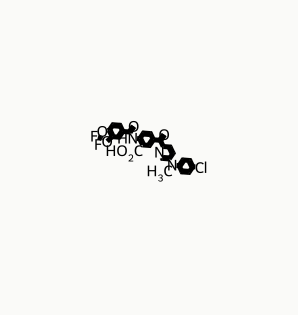 CN(c1ccc(Cl)cc1)c1ccc(C(=O)c2ccc(NC(=O)c3ccc4c(c3)OC(F)(F)O4)c(C(=O)O)c2)nc1